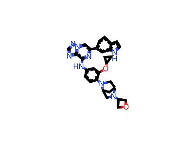 c1nc2c(Nc3ccc(N4CC5CC4CN5C4COC4)c(OC4CC4)c3)nc(-c3ccc4cc[nH]c4c3)cn2n1